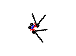 CCCCCCCCCCCCc1cccc(OC(=O)N2CN(C(=O)Oc3cccc(CCCCCCCCCCCC)c3CCCCCCCCCCCC)c3ccccc3-c3ccccc32)c1CCCCCCCCCCCC